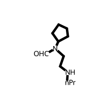 CCCNCCN(C=O)C1CCCC1